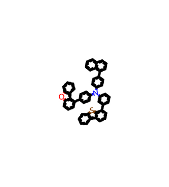 c1cc(-c2cccc3c2sc2ccccc23)cc(N(c2ccc(-c3cccc4ccccc34)cc2)c2ccc(-c3cccc4oc5ccccc5c34)cc2)c1